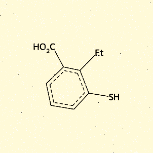 CCc1c(S)cccc1C(=O)O